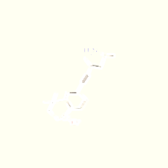 C=C(N)/C=C(\C)C#Cc1ccc2c(c1)C(C)(C)CC[S+]2[O-]